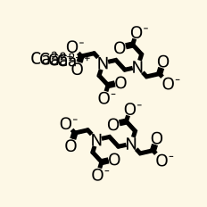 O=C([O-])CN(CCN(CC(=O)[O-])CC(=O)[O-])CC(=O)[O-].O=C([O-])CN(CCN(CC(=O)[O-])CC(=O)[O-])CC(=O)[O-].[Ca+2].[Ca+2].[Ca+2].[Ca+2]